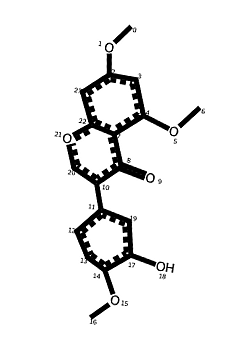 COc1cc(OC)c2c(=O)c(-c3ccc(OC)c(O)c3)coc2c1